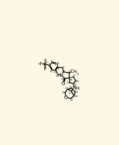 CC1C2Cc3ncc(C(F)(F)F)cc3CN2C(=O)[C@]12CC[C@@H](NC1C3CCC1COC3)C2